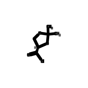 CC1(C)OC[C@H](C(=O)Cl)O1